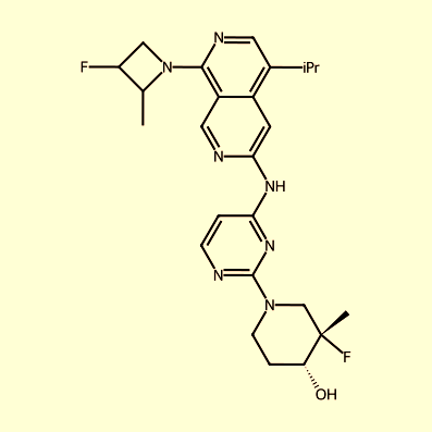 CC(C)c1cnc(N2CC(F)C2C)c2cnc(Nc3ccnc(N4CC[C@@H](O)[C@@](C)(F)C4)n3)cc12